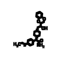 CCSc1ccc(C(C(N)=O)N2CCN(CC(O)C3COc4ccccc4O3)CC2)cc1